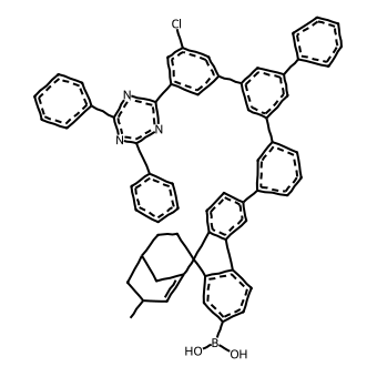 CC1C=C2CC(CCC23c2ccc(-c4cccc(-c5cc(-c6ccccc6)cc(-c6cc(Cl)cc(-c7nc(-c8ccccc8)nc(-c8ccccc8)n7)c6)c5)c4)cc2-c2ccc(B(O)O)cc23)C1